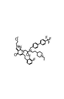 CCN1CCC(CCN(Cc2ccc(-c3ccc(C(F)(F)F)cc3)cc2)C(=O)Cn2c(CCc3cccc(F)c3F)cc(=O)c3cn(CCOC)nc32)CC1